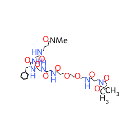 CNC(=O)CCCNC(=O)CNC(=O)[C@H](Cc1ccccc1)NC(=O)CNC(=O)CNC(=O)CCOCCOCCNC(=O)CCN1C(=O)CC(C)(C)C1=O